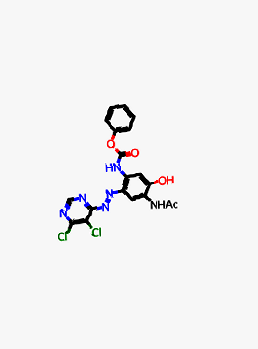 CC(=O)Nc1cc(/N=N/c2ncnc(Cl)c2Cl)c(NC(=O)Oc2ccccc2)cc1O